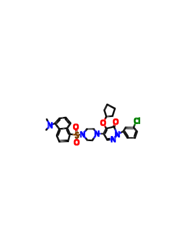 CN(C)c1cccc2c(S(=O)(=O)N3CCN(c4cnn(-c5cccc(Cl)c5)c(=O)c4OC4CCCC4)CC3)cccc12